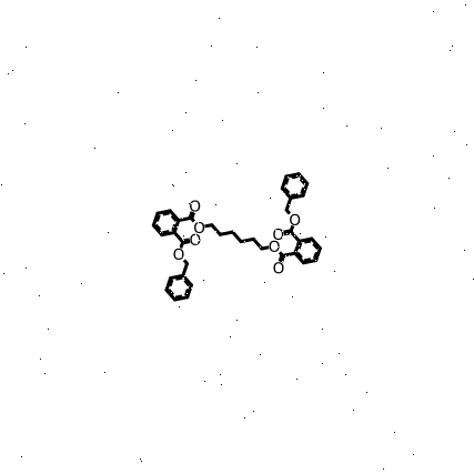 O=C(OCCCCCCOC(=O)c1ccccc1C(=O)OCc1ccccc1)c1ccccc1C(=O)OCc1ccccc1